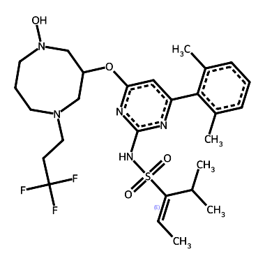 C/C=C(\C(C)C)S(=O)(=O)Nc1nc(OC2CN(O)CCCN(CCC(F)(F)F)C2)cc(-c2c(C)cccc2C)n1